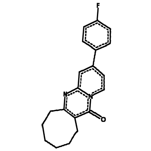 O=c1c2c(nc3cc(-c4ccc(F)cc4)ccn13)CCCCCC2